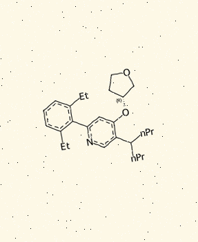 CCCC(CCC)c1cnc(-c2c(CC)cccc2CC)cc1O[C@@H]1CCOC1